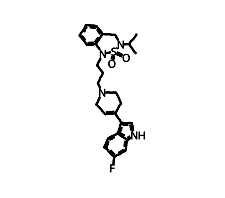 CC(C)N1Cc2ccccc2N(CCCN2CC=C(c3c[nH]c4cc(F)ccc34)CC2)S1(=O)=O